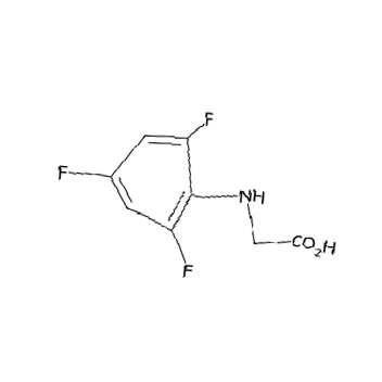 O=C(O)CNc1c(F)cc(F)cc1F